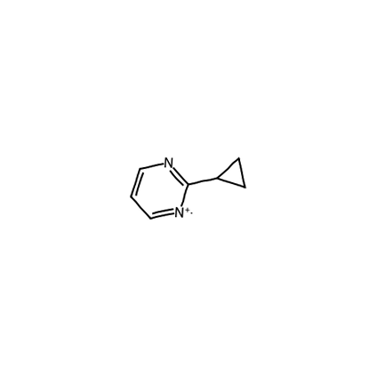 C1=CN=C(C2CC2)[N+]=C1